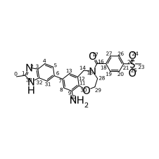 Cc1nc2ccc(-c3cc(N)c4c(c3)CN(C(=O)c3ccc(S(C)(=O)=O)cc3)CCO4)cc2[nH]1